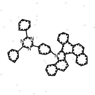 c1ccc(-c2nc(-c3ccccc3)nc(-c3ccc(-n4c5c6ccccc6ccc5c5c6c7ccccc7ccc6c6ccccc6c54)cc3)n2)cc1